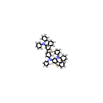 c1ccc(N(c2ccc3c(c2)sc2c4ccccc4c(N(c4ccccc4)c4ccccc4)cc32)c2cc(N(c3ccccc3)c3ccccc3)c3c(c2)sc2ccccc23)cc1